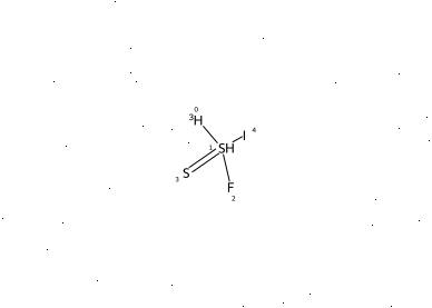 [3H][SH](F)(=S)I